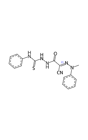 CN(/N=C(\C#N)C(=O)NNC(=S)Nc1ccccc1)c1ccccc1